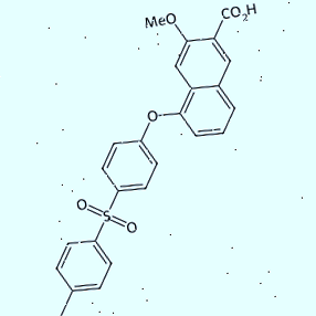 COc1cc2c(Oc3ccc(S(=O)(=O)c4ccc(C)cc4)cc3)cccc2cc1C(=O)O